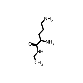 CCNC(=O)C(N)CCCN